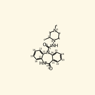 CC1CN(C)CCN1NC(=O)N1c2ccccc2NC(=O)c2ccccc21